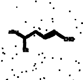 CCCCC(CC)CC=C[C]=O